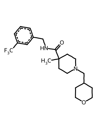 CC1(C(=O)NCc2cccc(C(F)(F)F)c2)CCN(CC2CCOCC2)CC1